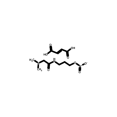 CN(C)CC(=O)NCCCO[N+](=O)[O-].O=C(O)C=CC(=O)O